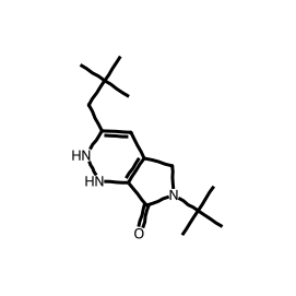 CC(C)(C)CC1=CC2=C(NN1)C(=O)N(C(C)(C)C)C2